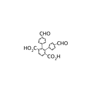 O=Cc1ccc(-c2c(C(=O)O)ccc(C(=O)O)c2-c2ccc(C=O)cc2)cc1